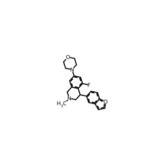 CN1Cc2cc(N3CCOCC3)cc(F)c2C(c2ccc3occc3c2)C1